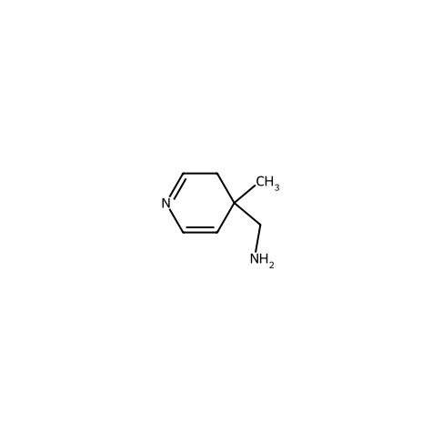 CC1(CN)C=CN=CC1